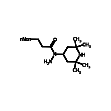 CCCCCCCCCCCC(=O)N(N)C1CC(C)(C)NC(C)(C)C1